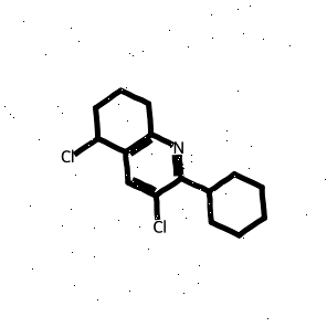 Clc1cc2c(nc1C1CCCCC1)CCCC2Cl